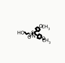 COc1ccc(-c2nc([S+]([O-])CCCO)sc2-c2ccc(OC)cc2)cc1